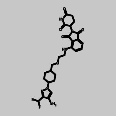 Nc1cn(C2CCC(COCCNc3cccc4c3C(=O)N(C3CCC(=O)NC3=O)C4=O)CC2)nc1C(F)F